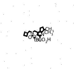 CC(C)(C)OC(=O)N(Cc1cc(C(=O)O)nc2c1CCC2(C)C)CC1CCC1